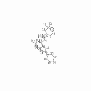 Cc1nc(CNC2CCOC(C)(C)C2)c2cc(C3CCCCC3)sc2n1